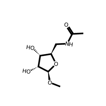 CO[C@@H]1O[C@H](CNC(C)=O)[C@@H](O)[C@H]1O